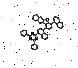 c1ccc(-c2nc(-c3ccccc3)nc(-c3ccc(-c4ccc(-c5cccc6ccccc56)c5oc6cc7ccccc7cc6c45)c4ccccc34)n2)cc1